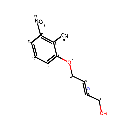 N#Cc1c(OC/C=C/CO)cccc1[N+](=O)[O-]